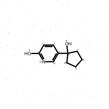 Oc1ccc(C2(O)CCCC2)cn1